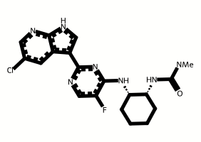 CNC(=O)N[C@@H]1CCCC[C@@H]1Nc1nc(-c2c[nH]c3ncc(Cl)cc23)ncc1F